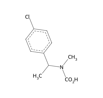 CC(c1ccc(Cl)cc1)N(C)C(=O)O